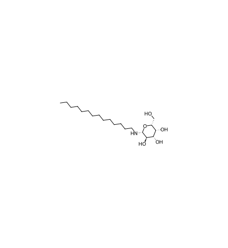 CCCCCCCCCCCCCCN[C@@H]1O[C@H](CO)[C@H](O)[C@H](O)[C@H]1O